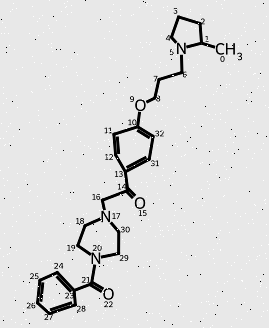 CC1CCCN1CCCOc1ccc(C(=O)CN2CCN(C(=O)c3ccccc3)CC2)cc1